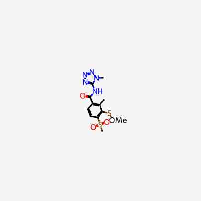 COSc1c(S(C)(=O)=O)ccc(C(=O)Nc2nnnn2C)c1C